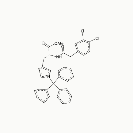 COC(=O)[C@@H](Cc1cn(C(c2ccccc2)(c2ccccc2)c2ccccc2)cn1)NC(=O)Cc1ccc(Cl)c(Cl)c1